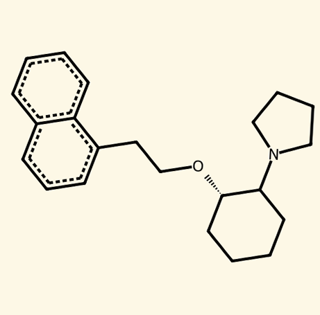 c1ccc2c(CCO[C@H]3CCCCC3N3CCCC3)cccc2c1